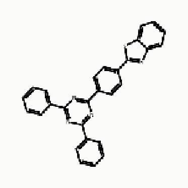 c1ccc(-c2nc(-c3ccccc3)nc(-c3ccc(-c4nc5ccccc5s4)cc3)n2)cc1